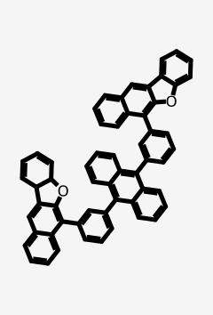 C1=CC2Oc3c(cc4ccccc4c3-c3cccc(-c4c5ccccc5c(-c5cccc(-c6c7ccccc7cc7c6oc6ccccc67)c5)c5ccccc45)c3)C2C=C1